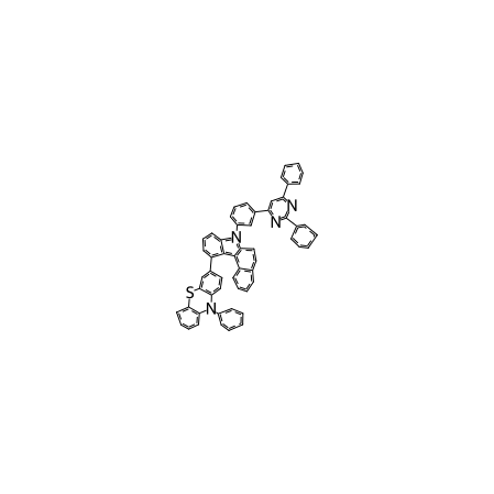 c1ccc(-c2cc(-c3cccc(-n4c5cccc(-c6ccc7c(c6)Sc6ccccc6N7c6ccccc6)c5c5c6ccccc6ccc54)c3)nc(-c3ccccc3)n2)cc1